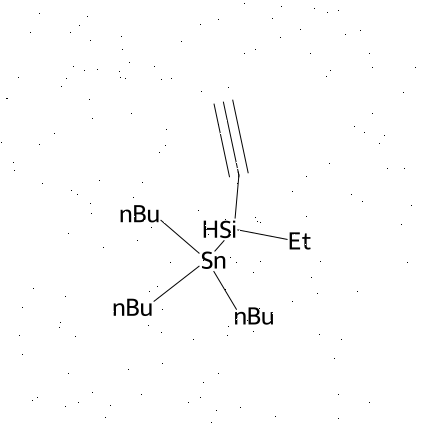 C#C[SiH](CC)[Sn]([CH2]CCC)([CH2]CCC)[CH2]CCC